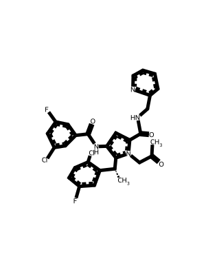 CC(=O)Cn1c(C(=O)NCc2ccccn2)cc(NC(=O)c2cc(F)cc(Cl)c2)c1[C@H](C)c1cc(F)ccc1Cl